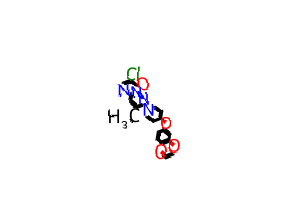 Cc1cc2ncc(Cl)c(=O)n2nc1N1CCC(Oc2ccc3c(c2)OCCO3)CC1